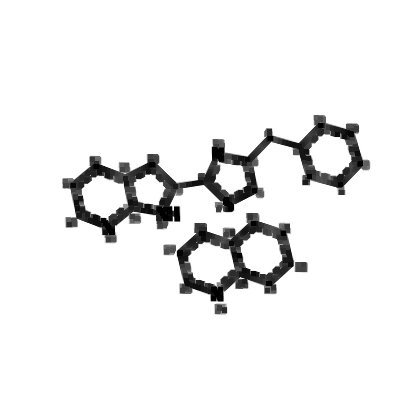 c1ccc(Cc2csc(-c3cc4cccnc4[nH]3)n2)cc1.c1ccc2ncccc2c1